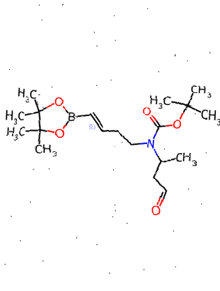 CC(CC=O)N(CC/C=C/B1OC(C)(C)C(C)(C)O1)C(=O)OC(C)(C)C